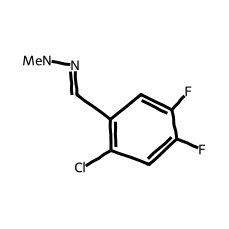 CN/N=C/c1cc(F)c(F)cc1Cl